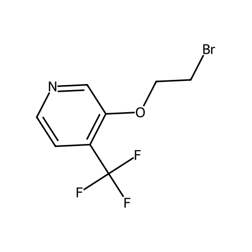 FC(F)(F)c1ccncc1OCCBr